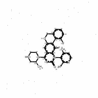 Cc1ccnc(C(C)C)c1-n1c(=O)nc(N2CCNC[C@@H]2C)c2cc3c(c(F)c21)-c1c(F)cccc1CO3